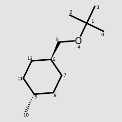 CC(C)(C)OC[C@H]1CC[C@H](C)CC1